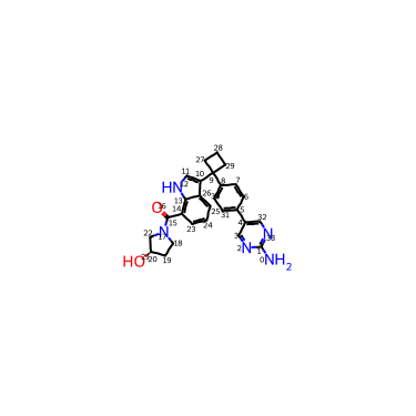 Nc1ncc(-c2ccc(C3(c4c[nH]c5c(C(=O)N6CC[C@@H](O)C6)cccc45)CCC3)cc2)cn1